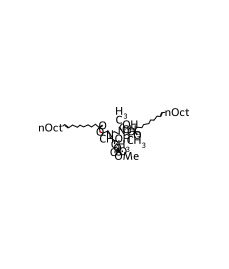 CCCCCCCCC=CCCCCCCCC(=O)OC(C)CN(CC[N+](C)(CC(C)O)CC(C)OC(=O)CCCCCCCC=CCCCCCCCC)CC(C)O.COS(=O)(=O)[O-]